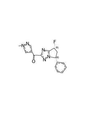 Cn1cc(C(=O)c2nc3n(n2)[C@@H](c2ccccc2)C[C@H]3F)cn1